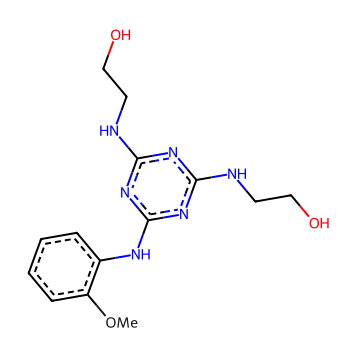 COc1ccccc1Nc1nc(NCCO)nc(NCCO)n1